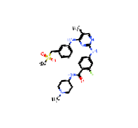 Cc1cnc(Nc2ccc(C(=O)NC3CCN(C)CC3)c(F)c2)nc1Nc1cccc(CS(=O)(=O)C(C)(C)C)c1